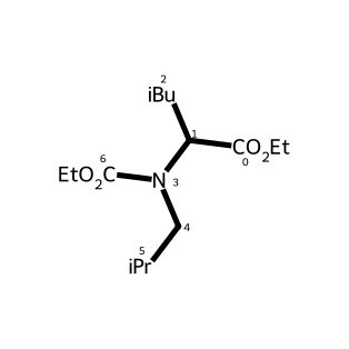 CCOC(=O)C(C(C)CC)N(CC(C)C)C(=O)OCC